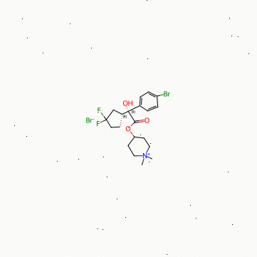 C[N+]1(C)CCC(OC(=O)[C@](O)(c2ccc(Br)cc2)[C@@H]2CCC(F)(F)C2)CC1.[Br-]